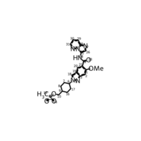 COc1cc2nn(C3CCC(COS(C)(=O)=O)CC3)cc2cc1C(=O)Nc1cnc2cccnn12